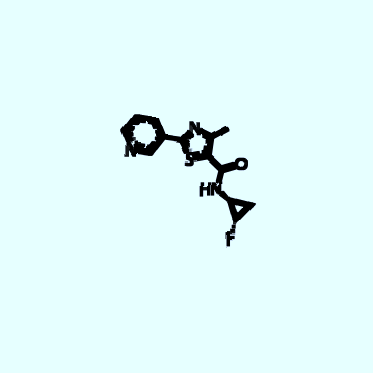 Cc1nc(-c2cccnc2)sc1C(=O)N[C@H]1C[C@@H]1F